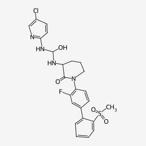 CS(=O)(=O)c1ccccc1-c1ccc(N2CCCC(NC(O)Nc3ccc(Cl)cn3)C2=O)c(F)c1